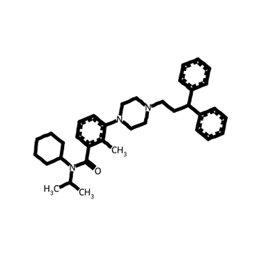 Cc1c(C(=O)N(C(C)C)C2CCCCC2)cccc1N1CCN(CCC(c2ccccc2)c2ccccc2)CC1